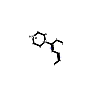 C/C=C\C=C(/CC)N1CCNCC1